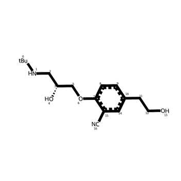 CC(C)(C)NC[C@@H](O)COc1ccc(CCO)cc1C#N